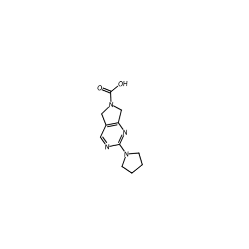 O=C(O)N1Cc2cnc(N3CCCC3)nc2C1